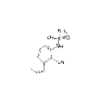 C/C=C\c1cccc(NS(N)(=O)=O)c1C#N